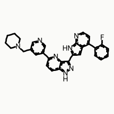 Fc1ccccc1-c1ccnc2[nH]c(-c3n[nH]c4ccc(-c5cncc(CN6CCCCC6)c5)nc34)cc12